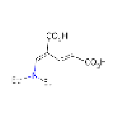 CCN(C=C(C=CC(=O)O)C(=O)O)CC